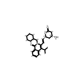 CC(C)c1c(C=C[C@@H]2C[C@@H](O)CC(=O)O2)n(CC2CCCCC2)c(=O)c2ccccc12